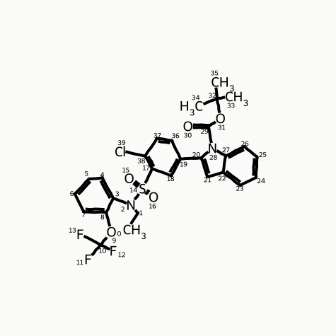 CCN(c1ccccc1OC(F)(F)F)S(=O)(=O)c1cc(-c2cc3ccccc3n2C(=O)OC(C)(C)C)ccc1Cl